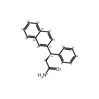 NC(=O)C[C@H](c1ccccc1)c1ccc2ccccc2c1